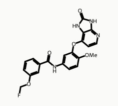 COc1ccc(NC(=O)c2cccc(OCF)c2)cc1Oc1ccnc2[nH]c(=O)[nH]c12